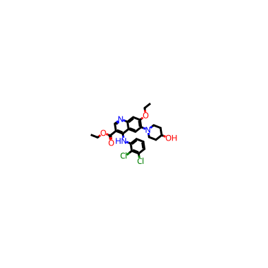 CCOC(=O)c1cnc2cc(OCC)c(N3CCC(O)CC3)cc2c1Nc1cccc(Cl)c1Cl